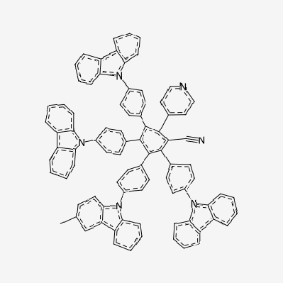 Cc1ccc2c(c1)c1ccccc1n2-c1ccc(-c2c(-c3ccc(-n4c5ccccc5c5ccccc54)cc3)c(C#N)c(-c3ccncc3)c(-c3ccc(-n4c5ccccc5c5ccccc54)cc3)c2-c2ccc(-n3c4ccccc4c4ccccc43)cc2)cc1